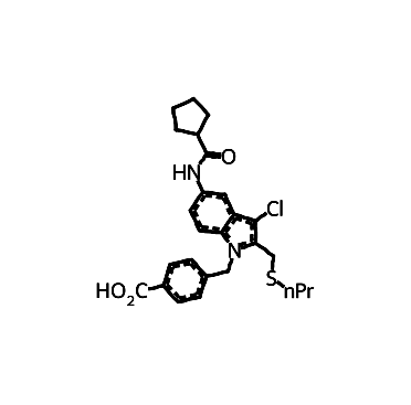 CCCSCc1c(Cl)c2cc(NC(=O)C3CCCC3)ccc2n1Cc1ccc(C(=O)O)cc1